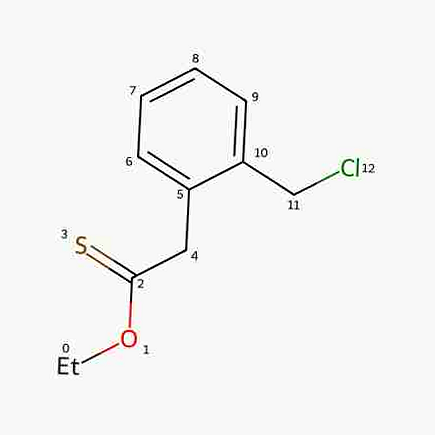 CCOC(=S)Cc1ccccc1CCl